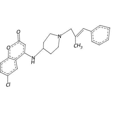 C/C(=C\c1ccccc1)CN1CCC(Nc2cc(=O)oc3ccc(Cl)cc23)CC1